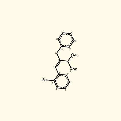 CC(=O)OC(OC(C)=O)C(=Cc1ccccc1C(C)(C)C)Cc1ccccc1